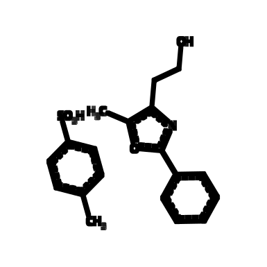 Cc1ccc(S(=O)(=O)O)cc1.Cc1oc(-c2ccccc2)nc1CCO